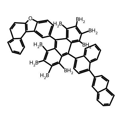 Bc1c(B)c(B)c2c(-c3ccc(-c4ccc5ccccc5c4)c4ccccc34)c3c(B)c(B)c(B)c(B)c3c(-c3ccc4oc5ccc6ccccc6c5c4c3)c2c1B